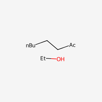 CCCCCCC(C)=O.CCO